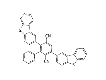 N#Cc1cc(-c2ccc3sc4ccccc4c3c2)c(C#N)c(-c2ccccc2)c1-c1ccc2sc3ccccc3c2c1